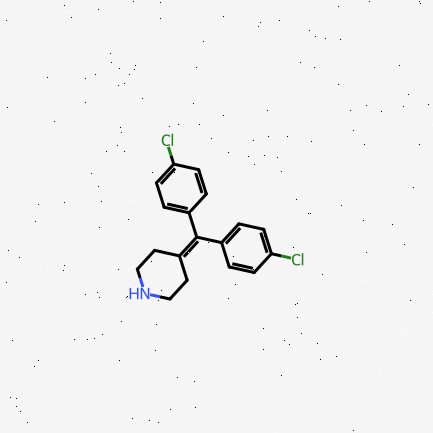 Clc1ccc(C(=C2CCNCC2)c2ccc(Cl)cc2)cc1